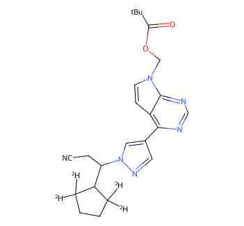 [2H]C1([2H])CCC([2H])([2H])C1C(CC#N)n1cc(-c2ncnc3c2ccn3COC(=O)C(C)(C)C)cn1